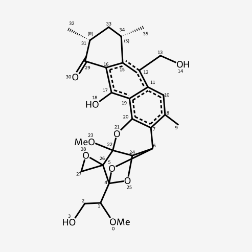 COC(CO)C12OC3c4c(C)cc5c(CO)c6c(c(O)c5c4OC(OC)(C3O1)C21CO1)C(=O)[C@H](C)C[C@@H]6C